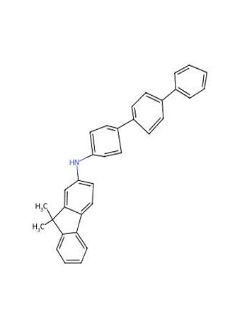 CC1(C)c2ccccc2-c2ccc(Nc3ccc(-c4ccc(-c5ccccc5)cc4)cc3)cc21